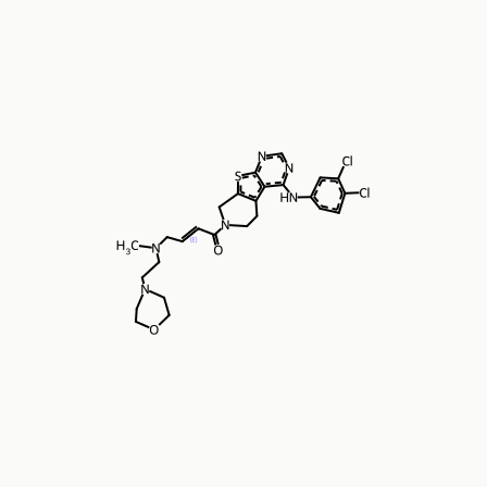 CN(C/C=C/C(=O)N1CCc2c(sc3ncnc(Nc4ccc(Cl)c(Cl)c4)c23)C1)CCN1CCOCC1